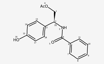 CC(=O)OC[C@@H](NC(=O)c1ccccc1)c1ccc(O)cc1